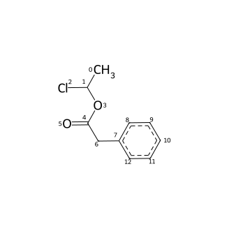 CC(Cl)OC(=O)Cc1ccccc1